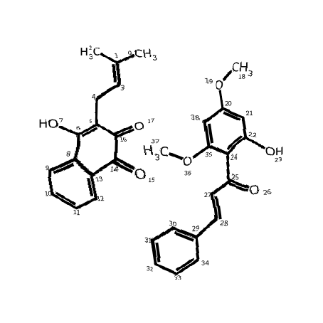 CC(C)=CCC1=C(O)c2ccccc2C(=O)C1=O.COc1cc(O)c(C(=O)C=Cc2ccccc2)c(OC)c1